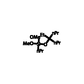 CCCC(CC)(CCC)O[Si](CCC)(OC)OC